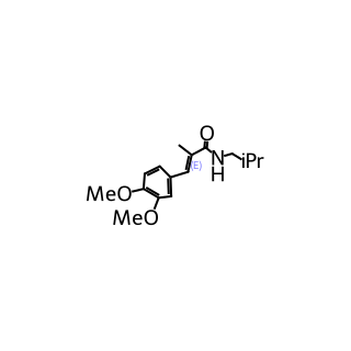 COc1ccc(/C=C(\C)C(=O)NCC(C)C)cc1OC